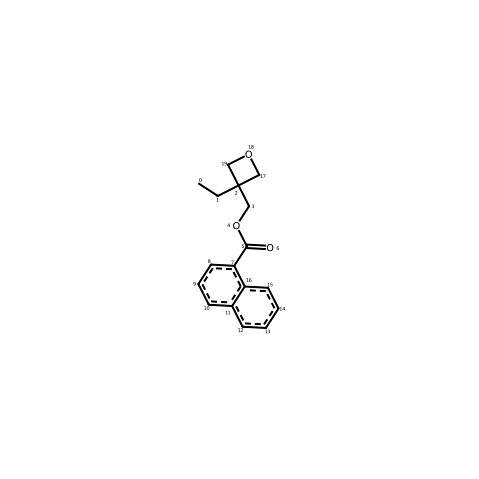 CCC1(COC(=O)c2cccc3ccccc23)COC1